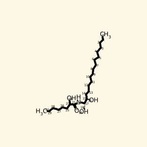 CCCCCCCCCCCCCCC[C@@H](O)[C@H](CO)NC(=O)C(O)CCCCCC